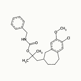 COc1cc2c(cc1Cl)CCCC(CC(C)(C)OC(=O)NCc1ccccc1)C2